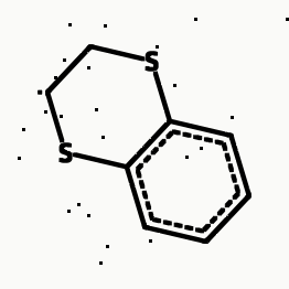 [CH]1CSc2ccccc2S1